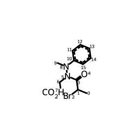 CC(Br)C(=O)N(CC(=O)O)N(C)c1ccccc1